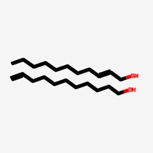 C=CCCCCCCCCCO.CCCCCCCCC=CCO